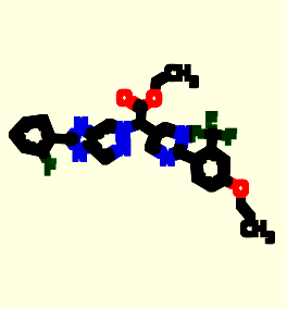 CCCOc1ccc(-c2ncc(C(C(=O)OCC)n3cc4nc(-c5ccccc5F)nc-4cn3)cn2)c(C(F)(F)F)c1